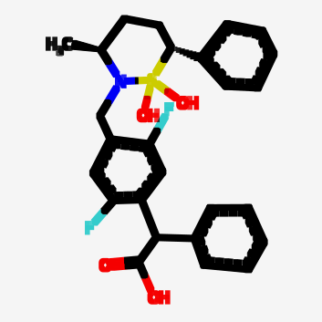 C[C@H]1CC[C@H](c2ccccc2)S(O)(O)N1Cc1cc(F)c(C(C(=O)O)c2ccccc2)cc1F